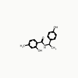 Cc1ccc(C(=O)NC(C)c2ccc(O)cc2)c(O)c1